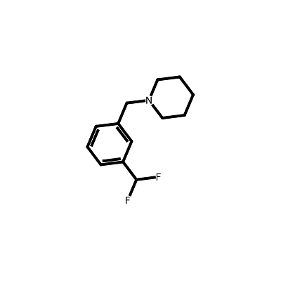 FC(F)c1cccc(CN2CCCCC2)c1